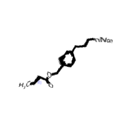 C/C=C/C(=O)OCc1ccc(CCCCCCCCCCCC)cc1